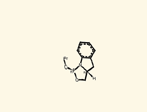 CC(C)O[P@]1OC[C@H]2Cc3ccccc3N21